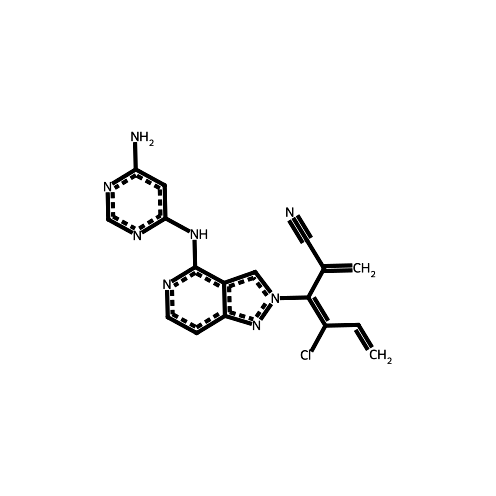 C=C/C(Cl)=C(\C(=C)C#N)n1cc2c(Nc3cc(N)ncn3)nccc2n1